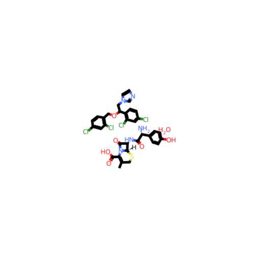 CC1=C(C(=O)O)N2C(=O)[C@@H](NC(=O)[C@H](N)c3ccc(O)cc3)[C@H]2SC1.Clc1ccc(COC(Cn2ccnc2)c2ccc(Cl)cc2Cl)c(Cl)c1.O